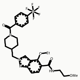 CCOc1c(C(=O)NCCOC)ccc2nn(CC3CCN(C(=O)c4ccc(S(F)(F)(F)(F)F)cc4)CC3)cc12